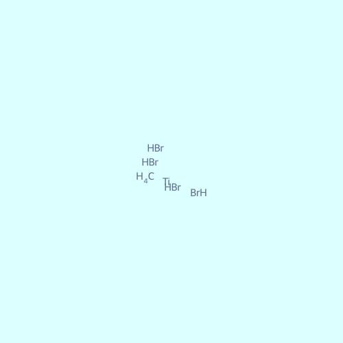 Br.Br.Br.Br.C.[Ti]